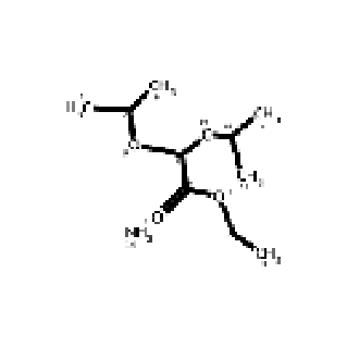 CCOC(=O)C(OC(C)C)OC(C)C.N